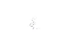 C=C=CO/C(=C\C)c1cc(C(F)(F)F)cn2c(C(=O)N3CCOCC3)nnc12